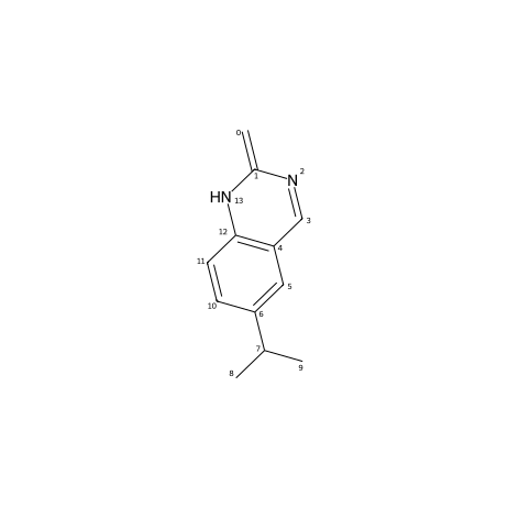 C=C1N=Cc2cc(C(C)C)ccc2N1